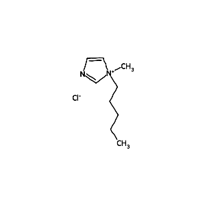 CCCCC[N+]1(C)C=CN=C1.[Cl-]